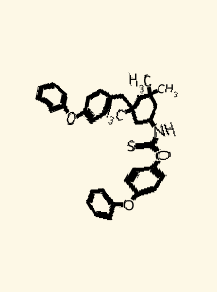 CC1(C)CC(NC(=S)Oc2ccc(Oc3ccccc3)cc2)CC(C)(Cc2ccc(Oc3ccccc3)cc2)C1